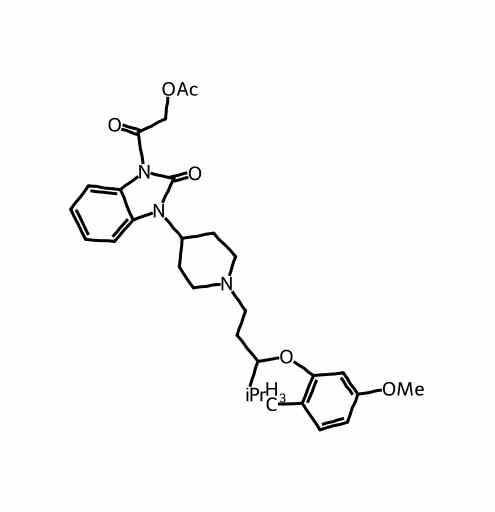 COc1ccc(C)c(OC(CCN2CCC(n3c(=O)n(C(=O)COC(C)=O)c4ccccc43)CC2)C(C)C)c1